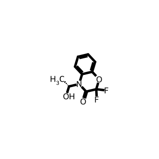 C[C@@H](O)N1C(=O)C(F)(F)Oc2ccccc21